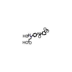 O=C(O)CC/C(=N\O)c1ccc(NC(=O)c2ccc3c(c2)OCO3)cc1